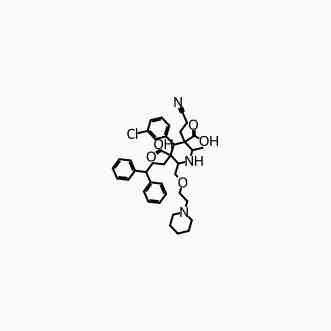 CC1NC(COCCN2CCCCC2)C(CCC(c2ccccc2)c2ccccc2)(C(=O)O)C(c2cccc(Cl)c2)C1(CCC#N)C(=O)O